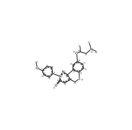 COc1ccc(-n2nc3c(cc2=O)CSc2ccc(OC(C)CN(C)C)cc2-3)cc1